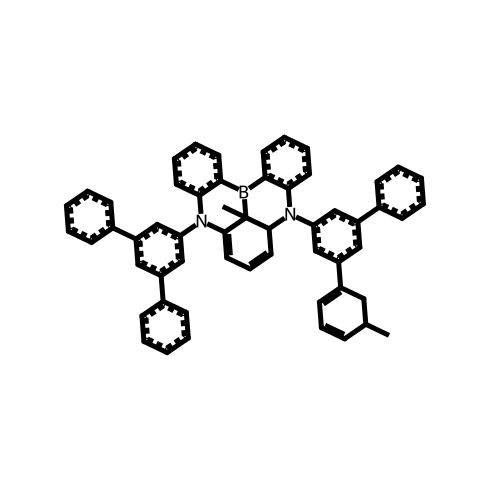 CC1C=CC=C(c2cc(-c3ccccc3)cc(N3c4ccccc4B4c5ccccc5N(c5cc(-c6ccccc6)cc(-c6ccccc6)c5)C5=CC=CC3C45C)c2)C1